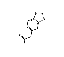 CC(=O)Cc1ccc2ncoc2c1